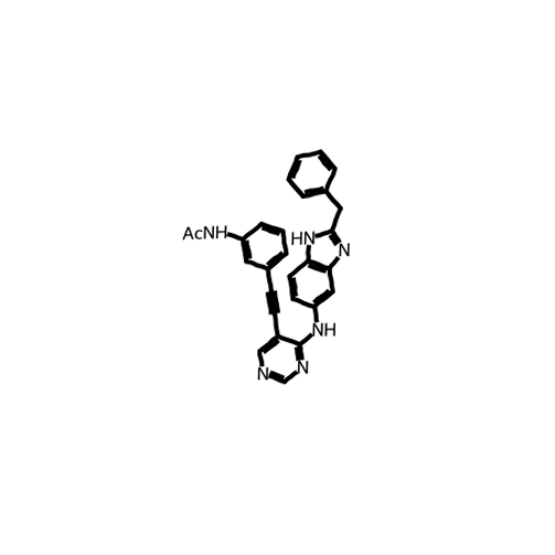 CC(=O)Nc1cccc(C#Cc2cncnc2Nc2ccc3[nH]c(Cc4ccccc4)nc3c2)c1